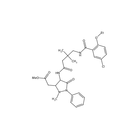 CCOc1ccc(Cl)cc1C(=O)NCC(C)(C)CC(=O)NC1C(=O)N(c2ccccc2)N(C)C1CC(=O)OC